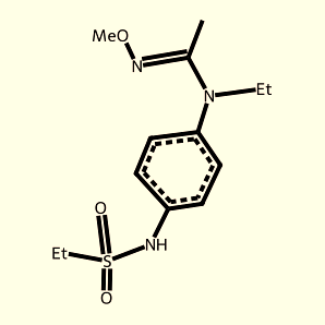 CCN(C(C)=NOC)c1ccc(NS(=O)(=O)CC)cc1